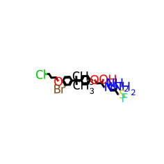 CC(C)(c1ccc(OCC(O)CN(N)/C=C(\N)CSF)cc1)c1ccc(OCCCCl)c(Br)c1